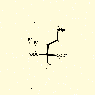 CCCCCCCCCCCC(C(=O)[O-])(C(=O)[O-])C(C)C.[K+].[K+]